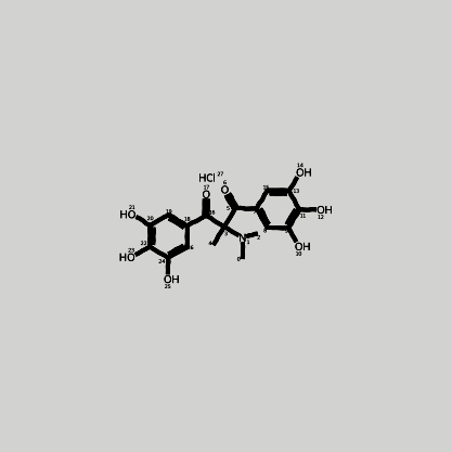 CN(C)C(C)(C(=O)c1cc(O)c(O)c(O)c1)C(=O)c1cc(O)c(O)c(O)c1.Cl